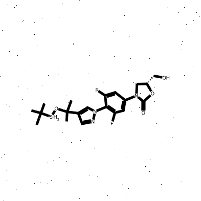 CC(C)(C)[SiH2]OC(C)(C)c1cnn(-c2c(F)cc(N3C[C@H](CO)OC3=O)cc2F)c1